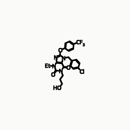 CCn1c(=O)n(CCCO)c(=O)c2c1nc(Oc1ccc(C(F)(F)F)cc1)n2Cc1ccc(Cl)cc1